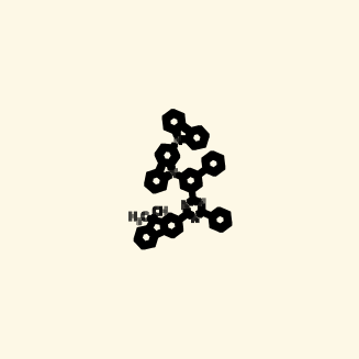 CC1(C)c2ccccc2-c2ccc(-c3nc(-c4ccccc4)nc(-c4cc(-c5ccccc5)cc(-n5c6ccccc6c6ccc(-n7c8ccccc8c8ccccc87)cc65)c4)n3)cc21